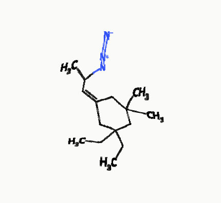 CCC1(CC)CC(=CC(C)N=[N+]=[N-])CC(C)(C)C1